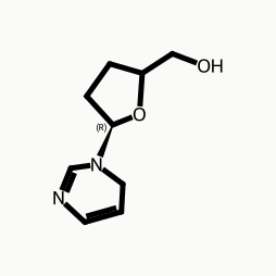 OCC1CC[C@H](N2C=NC=CC2)O1